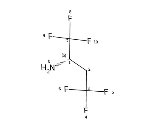 N[C@@H](CC(F)(F)F)C(F)(F)F